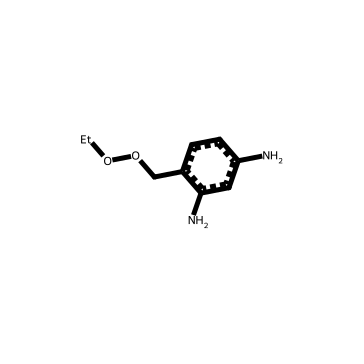 CCOOCc1ccc(N)cc1N